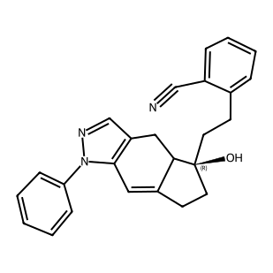 N#Cc1ccccc1CC[C@]1(O)CCC2=Cc3c(cnn3-c3ccccc3)CC21